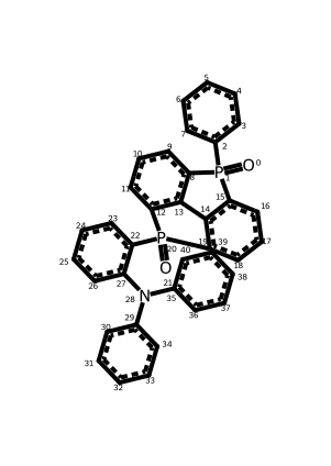 O=P1(c2ccccc2)c2cccc3c2-c2c1cccc2P3(=O)c1ccccc1N(c1ccccc1)c1ccccc1